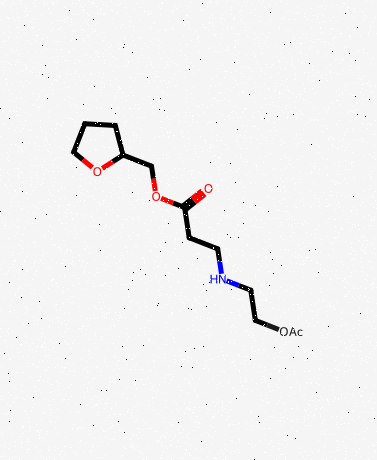 CC(=O)OCCNCCC(=O)OCC1CCCO1